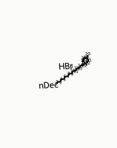 Br.CCCCCCCCCCCCCCCCCCCCCCCCN1C=CC(C)=CC1